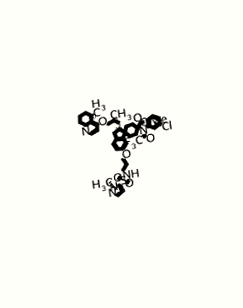 COC(=O)C1(N(C(=O)C(F)(F)F)c2cccc(Cl)c2)CCC2(CC1)c1cc(OCCCNS(=O)(=O)c3ccnn3C)ccc1C[C@@H]2C[C@@H](C)COc1ccnc2c1[C@H](C)CCC2